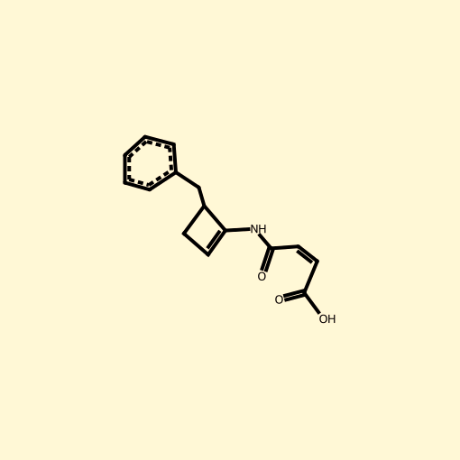 O=C(O)/C=C\C(=O)NC1=CCC1Cc1ccccc1